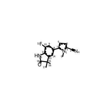 Cn1c(C#N)ccc1-c1cc(F)c2c(c1)C(C)(C)C(=O)N2